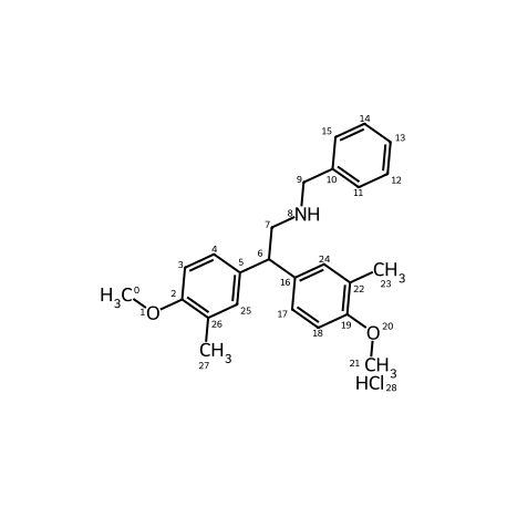 COc1ccc(C(CNCc2ccccc2)c2ccc(OC)c(C)c2)cc1C.Cl